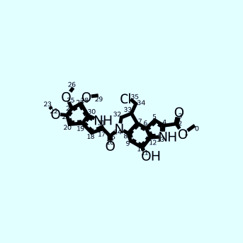 COC(=O)c1cc2c3c(cc(O)c2[nH]1)N(C(=O)c1cc2cc(OC)c(OC)c(OC)c2[nH]1)CC3CCl